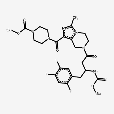 CC(C)(C)OC(=O)NC(CC(=O)N1CCn2c(C(F)(F)F)nc(C(=O)N3CCN(C(=O)OC(C)(C)C)CC3)c2C1)Cc1cc(F)c(F)cc1F